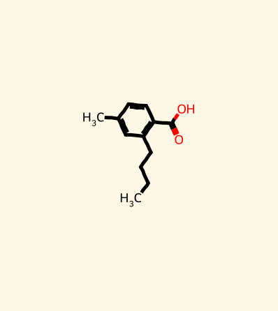 CCCCc1cc(C)ccc1C(=O)O